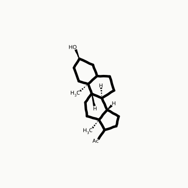 CC(=O)C1CC[C@H]2[C@@H]3CCC4C[C@H](O)CC[C@]4(C)[C@H]3CC[C@]12C